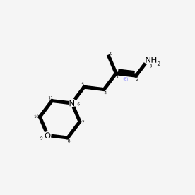 C/C(=C\N)CCN1CCOCC1